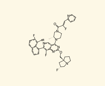 C#Cc1c(F)ccc2cccc(-c3ncc4c(N5CCN(C(=O)/C(F)=C/c6ccccn6)C[C@H]5C)nc(OC[C@@]56CCCN5C[C@H](F)C6)nc4c3F)c12